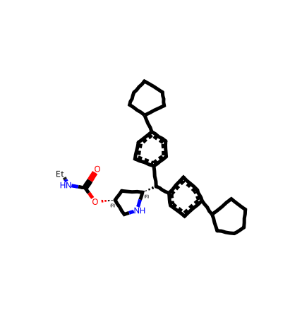 CCNC(=O)O[C@H]1CN[C@@H](C(c2ccc(C3CCCCC3)cc2)c2ccc(C3CCCCC3)cc2)C1